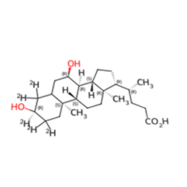 [2H]C1([2H])C[C@@]2(C)C(C[C@@H](O)[C@H]3[C@@H]4CC[C@H]([C@H](C)CCC(=O)O)[C@@]4(C)CC[C@@H]32)C([2H])([2H])[C@]1([2H])O